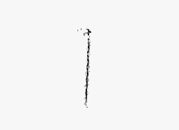 CC(C)(C)OC(=O)CCOCCOCCOCCOCCOCCOCCOCCOCCOCCOCCI